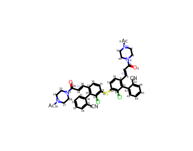 CC(=O)N1CCN(C(=O)/C=C/c2ccc(Sc3ccc(/C=C/C(=O)N4CCN(C(C)=O)CC4)c(-c4ccccc4C#N)c3Cl)c(Cl)c2-c2ccccc2C#N)CC1